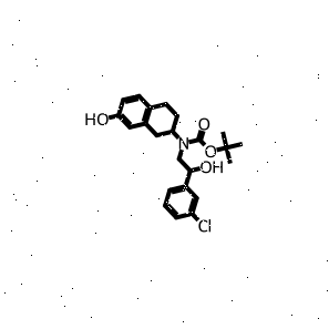 CC(C)(C)OC(=O)N(CC(O)c1cccc(Cl)c1)C1CCc2ccc(O)cc2C1